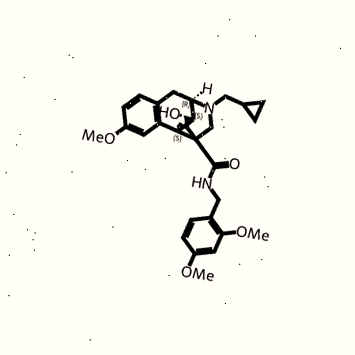 COc1ccc(CNC(=O)C2C[C@]34CCN(CC5CC5)[C@H](Cc5ccc(OC)cc53)[C@]4(O)C2)c(OC)c1